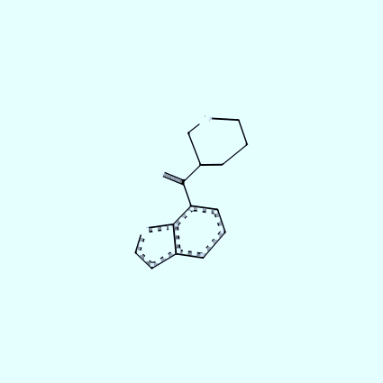 O=C(c1cccc2ccoc12)C1CCCNC1